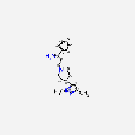 Cc1cc(C2CCN(CCC(N)c3ccccc3)CC2)n(C)n1